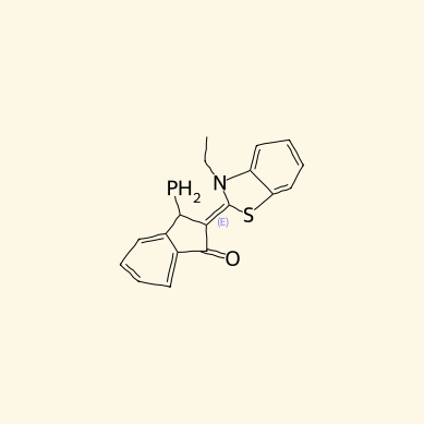 CCN1/C(=C2/C(=O)c3ccccc3C2P)Sc2ccccc21